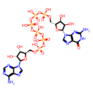 Nc1nc2c(ncn2[C@@H]2O[C@H](COP(=O)(O)OP(=O)(O)OP(=O)(O)OP(=O)(O)OP(=O)(O)OP(=O)(O)OC[C@H]3O[C@@H](n4cnc5c(N)ncnc54)[C@H](O)[C@@H]3O)[C@@H](O)[C@H]2O)c(=O)[nH]1